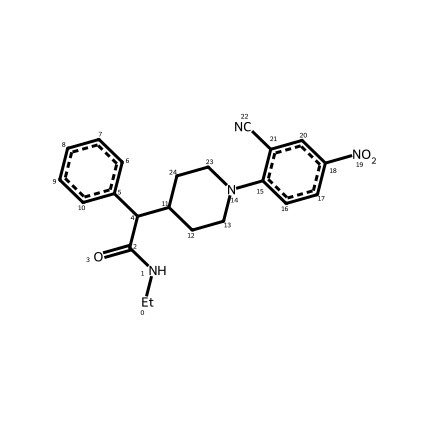 CCNC(=O)C(c1ccccc1)C1CCN(c2ccc([N+](=O)[O-])cc2C#N)CC1